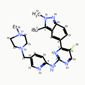 CCC(C)c1c2cc(-c3nc(Nc4ccc(CN5CCN(CC)CC5)cn4)ncc3F)ccc2nn1C